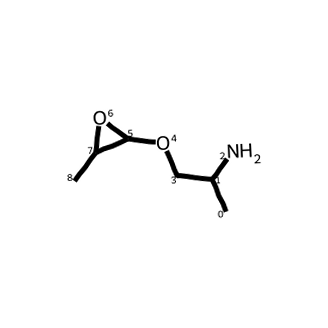 CC(N)COC1OC1C